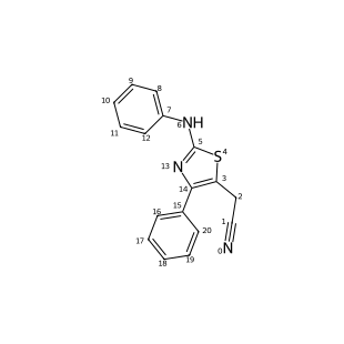 N#CCc1sc(Nc2ccccc2)nc1-c1ccccc1